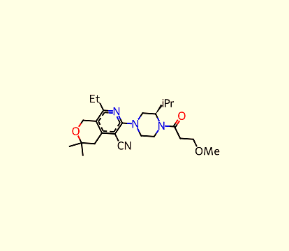 CCc1nc(N2CCN(C(=O)CCOC)[C@H](C(C)C)C2)c(C#N)c2c1COC(C)(C)C2